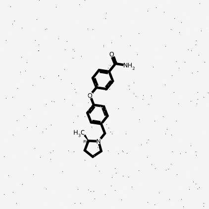 C[C@@H]1CCCN1Cc1ccc(Oc2ccc(C(N)=O)cc2)cc1